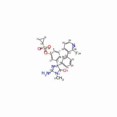 CN1C(=O)C(c2cccc(OS(=O)(=O)C3CC3)c2)(c2cccc(-c3cccnc3F)c2)N=C1N